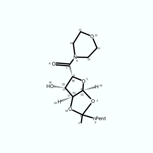 CCCCCC1(C)O[C@@H]2O[C@@H](C(=O)N3CCOCC3)[C@@H](O)[C@@H]2O1